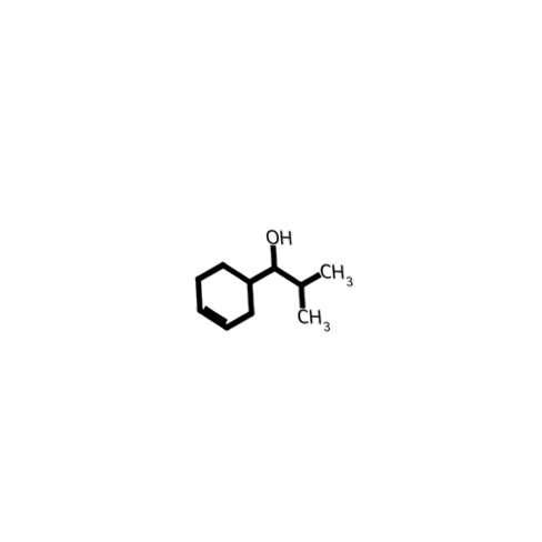 CC(C)C(O)C1CC=CCC1